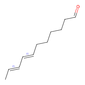 C/C=C/C=C/CCCCCC=O